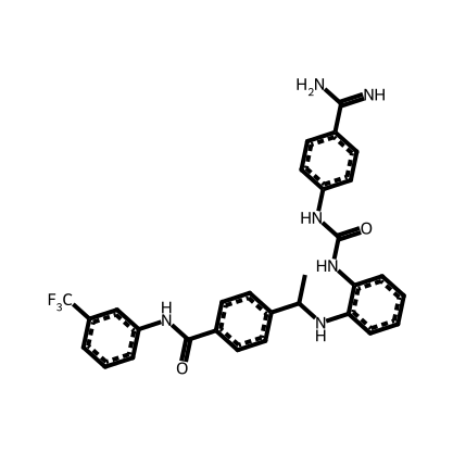 CC(Nc1ccccc1NC(=O)Nc1ccc(C(=N)N)cc1)c1ccc(C(=O)Nc2cccc(C(F)(F)F)c2)cc1